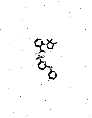 CC1CCN(c2ncccc2C(=O)NS(=O)(=O)c2cccc(Nc3ccccn3)n2)C1(C)C